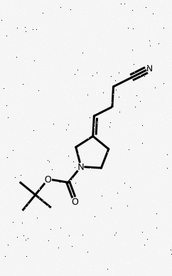 CC(C)(C)OC(=O)N1CC/C(=C\CCC#N)C1